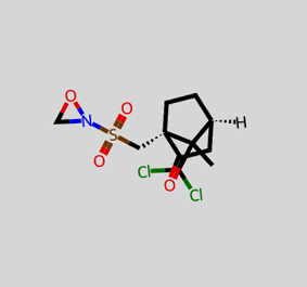 CC1(C(Cl)Cl)[C@H]2CC[C@]1(CS(=O)(=O)N1CO1)C(=O)C2